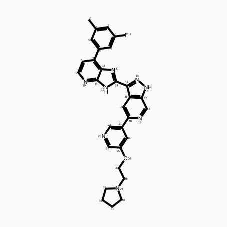 Cc1cc(F)cc(-c2ccnc3[nH]c(-c4n[nH]c5cnc(-c6cncc(OCCN7CCCC7)c6)cc45)nc23)c1